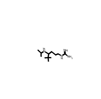 CC(C)NC(CCCNC(=N)N)C(C)(C)C